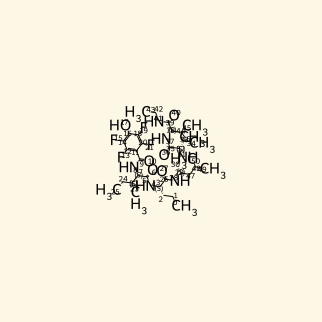 CCC[C@H](NC(=O)[C@@H](NC(=O)c1c(F)c(F)c(O)c(F)c1F)[C@@H](C)CC)C(=O)N[C@H](CN[C@@H](CC)C(=O)N[C@H](C(=O)NCC)C(C)C)CC(C)C